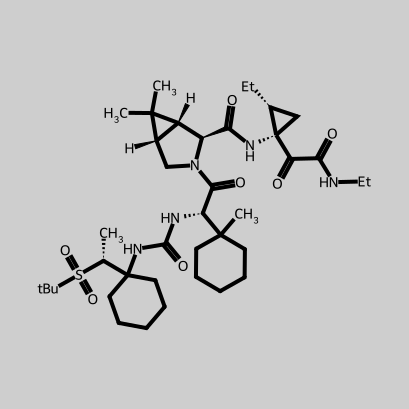 CCNC(=O)C(=O)[C@]1(NC(=O)[C@@H]2[C@@H]3[C@H](CN2C(=O)[C@@H](NC(=O)NC2([C@@H](C)S(=O)(=O)C(C)(C)C)CCCCC2)C2(C)CCCCC2)C3(C)C)C[C@H]1CC